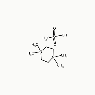 CS(=O)(=O)O.C[N+]1(C)CC[N+](C)(C)CC1